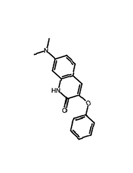 CN(C)c1ccc2cc(Oc3ccccc3)c(=O)[nH]c2c1